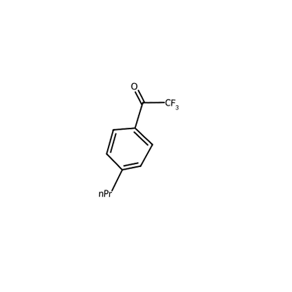 CCCc1ccc(C(=O)C(F)(F)F)cc1